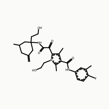 C=C1CC(C)CC(CCO)(NC(=O)C(=O)c2c(C)c(C(=O)Nc3ccc(F)c(C)c3)c(C)n2CCO)C1